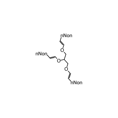 CCCCCCCCCC=COCC(COC=CCCCCCCCCC)OC=CCCCCCCCCC